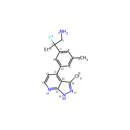 CCC(F)(CN)c1cc(C)cc(-c2ccnc3[nH]nc(C(F)(F)F)c23)c1